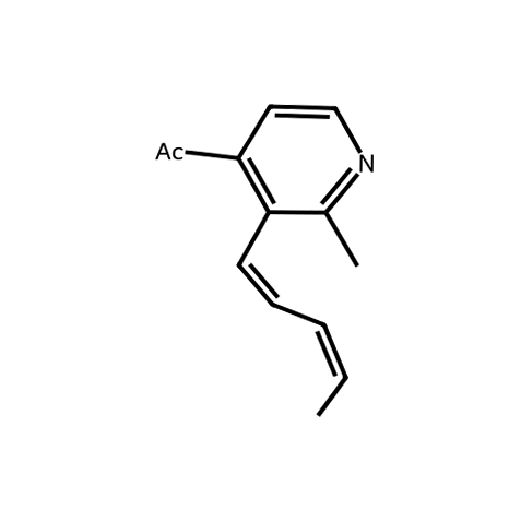 C/C=C\C=C/c1c(C(C)=O)ccnc1C